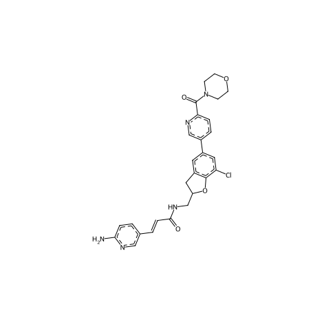 Nc1ccc(/C=C/C(=O)NCC2Cc3cc(-c4ccc(C(=O)N5CCOCC5)nc4)cc(Cl)c3O2)cn1